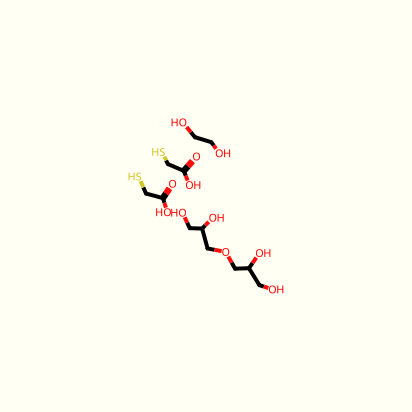 O=C(O)CS.O=C(O)CS.OCC(O)COCC(O)CO.OCCO